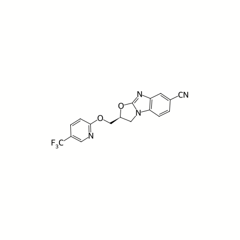 N#Cc1ccc2c(c1)nc1n2C[C@@H](COc2ccc(C(F)(F)F)cn2)O1